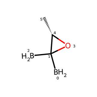 BC1(B)O[C@H]1C